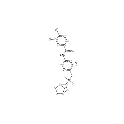 C[N+](C)(Cc1ccc(NC(=O)c2ccc(Cl)c(Cl)c2)cc1)C1CC2CCC1C2.[Cl-]